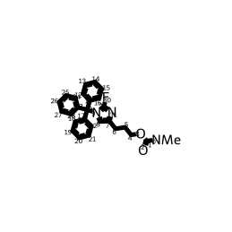 CNC(=O)OCCCc1cn(C(c2ccccc2)(c2ccccc2)c2ccccc2)c(F)n1